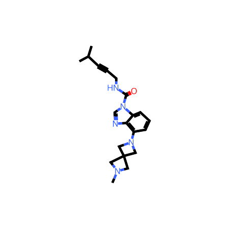 CC(C)C#CCNC(=O)n1cnc2c(N3CC4(CN(C)C4)C3)cccc21